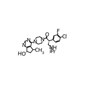 CC(C)NC[C@@H](C(=O)N1CCN(c2ncnc3c2C(C)C[C@@H]3O)CC1)c1ccc(Cl)c(F)c1